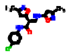 Cc1cc(N/C=C(/C(=O)Nc2ccc(Cl)cc2)c2cc(C)no2)on1